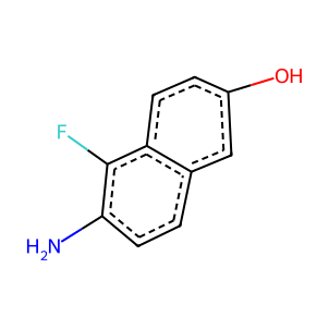 Nc1ccc2cc(O)ccc2c1F